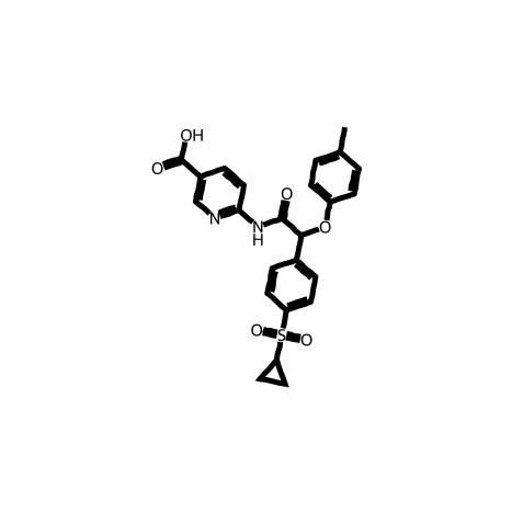 Cc1ccc(OC(C(=O)Nc2ccc(C(=O)O)cn2)c2ccc(S(=O)(=O)C3CC3)cc2)cc1